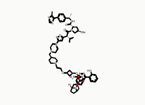 Cc1ncsc1-c1ccc([C@H](C)NC(=O)[C@@H]2C[C@@H](O)CN2C(=O)[C@@H](c2cc(N3CCN(CC4CCN(CCOC5CC(Oc6cc(N7C8CC[C@@H]7CN(c7cc(-c9ccccc9O)nnc7N)C8)ccn6)C5)CC4)CC3)no2)C(C)C)cc1